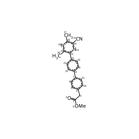 COC(=O)Cc1ccc(-c2ccc(-c3nc(C#N)c(C)nc3C)cc2)cc1